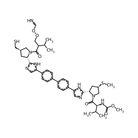 COC(=O)N[C@H](C(=O)N1C[C@H](SC)C[C@H]1c1ncc(-c2ccc(-c3ccc(-c4cnc([C@@H]5C[C@@H](CS)CN5C(=O)C(COOC=N)C(C)C)[nH]4)cc3)cc2)[nH]1)C(C)C